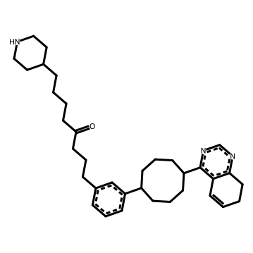 O=C(CCCCC1CCNCC1)CCCc1cccc(C2CCCC(c3ncnc4c3C=CCC4)CCC2)c1